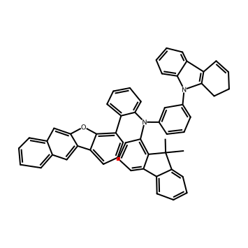 CC1(C)c2ccccc2-c2cccc(N(c3cccc(-n4c5c(c6ccccc64)C=CCC5)c3)c3ccccc3-c3cccc4c3oc3cc5ccccc5cc34)c21